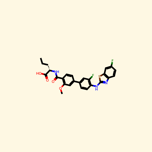 CCC[C@H](NC(=O)c1ccc(-c2ccc(Nc3nc4ccc(F)cc4s3)c(F)c2)cc1OC)C(=O)O